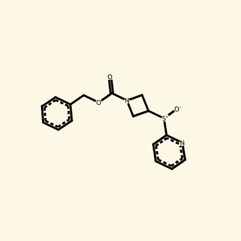 O=C(OCc1ccccc1)N1CC([S+]([O-])c2ccccn2)C1